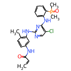 C=CC(=O)Nc1ccc(C)c(Nc2ncc(Cl)c(Nc3ccccc3P(C)(C)=O)n2)c1